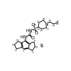 O=C(Nc1c2c(cc3c1CCC3)CCC2)NS(=O)(=O)C1CCN(CCF)CC1.[K]